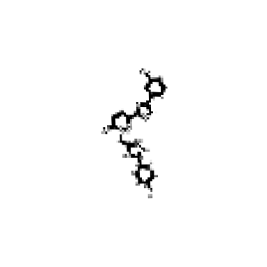 O=c1ccc(-c2nc(-c3cccc(Cl)c3)no2)nn1Cc1nnc(-c2ccc(F)cn2)s1